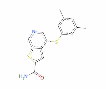 Cc1cc(C)cc(Sc2cncc3sc(C(N)=O)cc23)c1